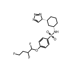 O=S(=O)(N[C@H]1CCC[C@@H](C2C=NN=N2)C1)c1ccc(OC(F)C(F)CCF)cc1